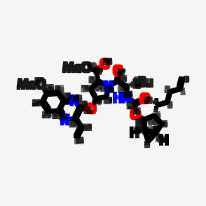 C=CCCC[C@@H]1C[C@H]2C[C@H]2[C@H]1OC(=O)N[C@H](C(=O)N1C[C@H](Oc2nc3cc(OC)ccc3nc2C=C)C[C@H]1C(=O)OC)C(C)(C)C